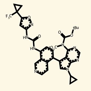 CC(C)(C)OC(=O)N(C(=O)O)c1ncnc2c1c(-c1ccc(NC(=O)Nc3cc(C4(C(F)(F)F)CC4)on3)c3cnccc13)cn2C1CC1